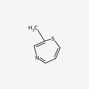 CC1=CN=CC=CS1